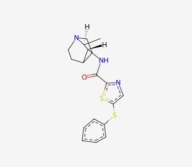 C[C@H]1[C@H](NC(=O)c2ncc(Sc3ccccc3)s2)C2CCN1CC2